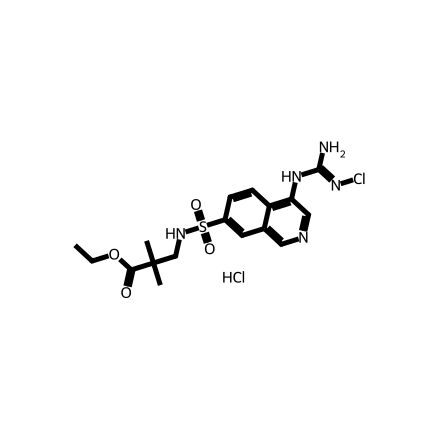 CCOC(=O)C(C)(C)CNS(=O)(=O)c1ccc2c(NC(N)=NCl)cncc2c1.Cl